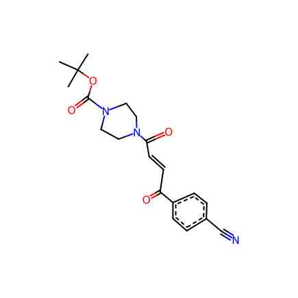 CC(C)(C)OC(=O)N1CCN(C(=O)/C=C/C(=O)c2ccc(C#N)cc2)CC1